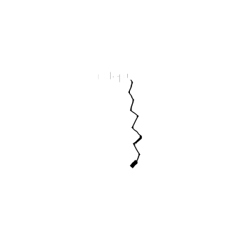 C#CCC=CCCCCCCCCCCCCC